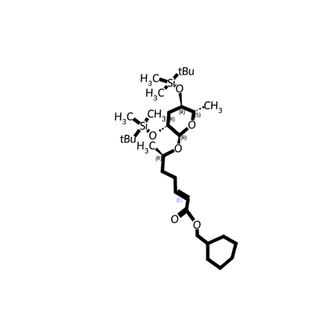 C[C@H](CC/C=C/C(=O)OCC1CCCCC1)O[C@@H]1O[C@@H](C)[C@H](O[Si](C)(C)C(C)(C)C)C[C@H]1O[Si](C)(C)C(C)(C)C